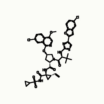 C=C[C@@H]1C[C@]1(NC(=O)[C@@H]1C[C@@H](Oc2ncc(OC)c3ccc(Cl)cc23)CN1C(=O)[C@@H](Nc1nc(-c2cc3cc(Cl)ccc3o2)cs1)C(C)(C)C)C(=O)NS(=O)(=O)C1CC1